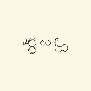 O=C(C1CC2(C1)CC(c1n[nH]c(=O)c3ccccc13)C2)N1CCc2ccccc21